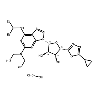 CCC(CC)Nc1nc(N(CO)CC(C)C)nc2c1ncn2[C@@H]1O[C@H](c2nnc(C3CC3)o2)[C@@H](O)[C@H]1O.O=CO